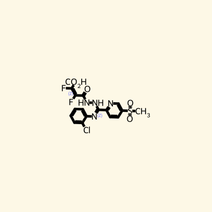 CS(=O)(=O)c1ccc(/C(=N/c2ccccc2Cl)NNC(=O)/C(F)=C(/F)C(=O)O)nc1